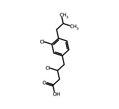 CC(C)Cc1ccc(CC(Cl)CC(=O)O)cc1Cl